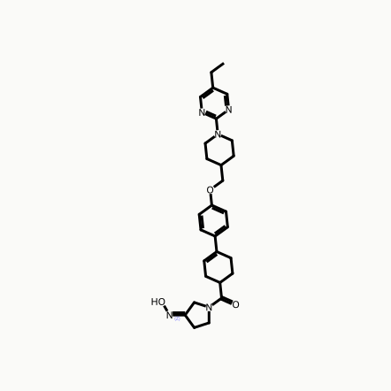 CCc1cnc(N2CCC(COc3ccc(C4=CCC(C(=O)N5CC/C(=N/O)C5)CC4)cc3)CC2)nc1